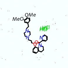 COc1ccc(CCN2CCN(CCCOc3cccc4c3N(C(=O)c3ccccn3)CCC4)CC2)cc1OC.Cl.Cl.Cl